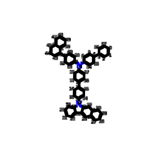 c1ccc(-c2ccc(N(c3ccc(-c4ccc(-n5c6ccccc6c6cc7ccccc7cc65)cc4)cc3)c3ccc(-c4cccc5ccccc45)cc3)cc2)cc1